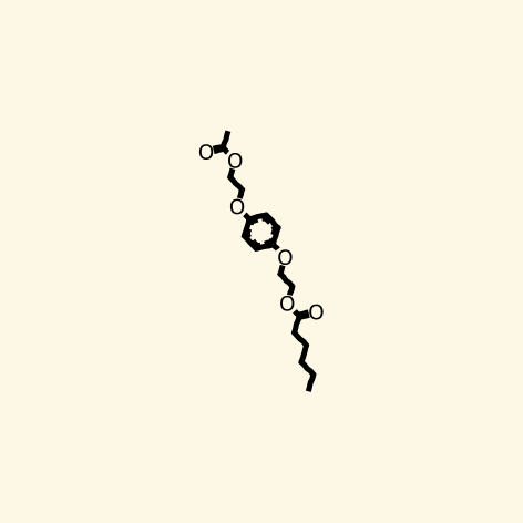 CCCCCC(=O)OCCOc1ccc(OCCOC(C)=O)cc1